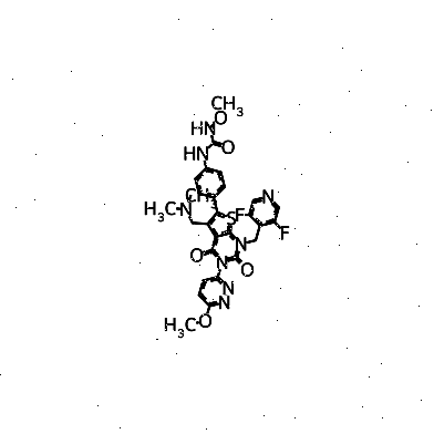 CONC(=O)Nc1ccc(-c2sc3c(c2CN(C)C)c(=O)n(-c2ccc(OC)nn2)c(=O)n3Cc2c(F)cncc2F)cc1